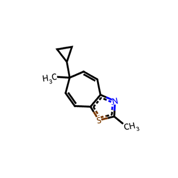 Cc1nc2c(s1)C=CC(C)(C1CC1)C=C2